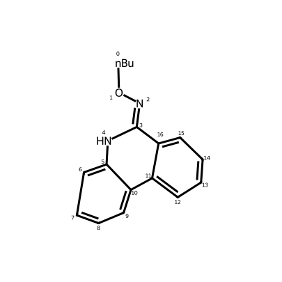 CCCCO/N=c1\[nH]c2ccccc2c2ccccc12